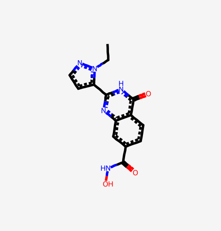 CCn1nccc1-c1nc2cc(C(=O)NO)ccc2c(=O)[nH]1